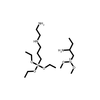 CCC(N)C[SiH](OC)OC.CCO[Si](CCCNCCN)(OCC)OCC